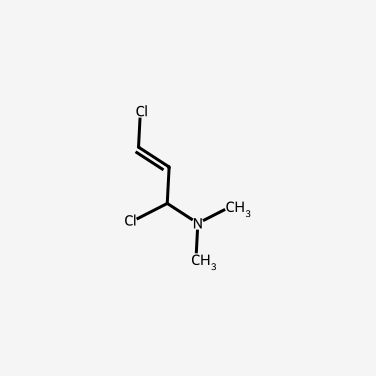 CN(C)C(Cl)C=CCl